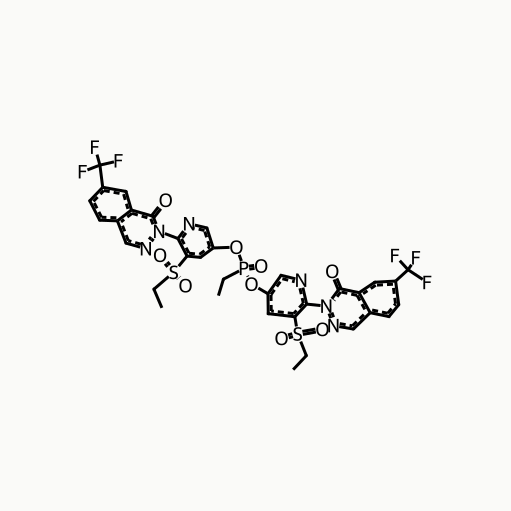 CCP(=O)(Oc1cnc(-n2ncc3ccc(C(F)(F)F)cc3c2=O)c(S(=O)(=O)CC)c1)Oc1cnc(-n2ncc3ccc(C(F)(F)F)cc3c2=O)c(S(=O)(=O)CC)c1